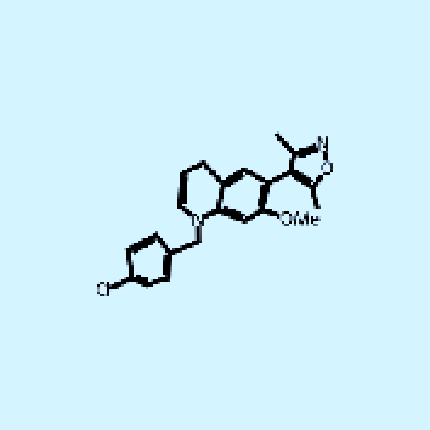 COc1cc2c(cc1-c1c(C)noc1C)CC=CN2Cc1ccc(Cl)cc1